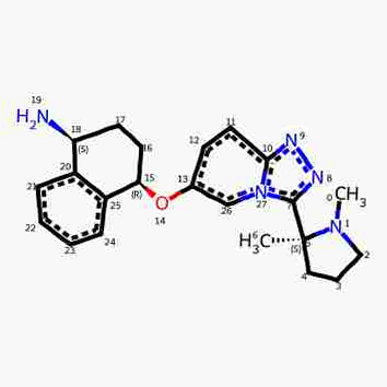 CN1CCC[C@@]1(C)c1nnc2ccc(O[C@@H]3CC[C@H](N)c4ccccc43)cn12